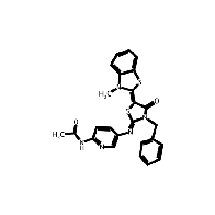 CC(=O)Nc1ccc(N=C2SC(=C3Sc4ccccc4N3C)C(=O)N2Cc2ccccc2)cn1